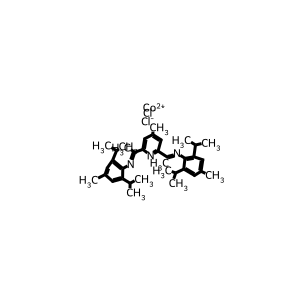 CC(=Nc1c(C(C)C)cc(C)cc1C(C)C)c1cc(C)cc(C(C)=Nc2c(C(C)C)cc(C)cc2C(C)C)n1.[Cl-].[Cl-].[Co+2]